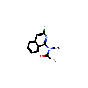 CC(=O)N(C)c1nc(Cl)cc2ccccc12